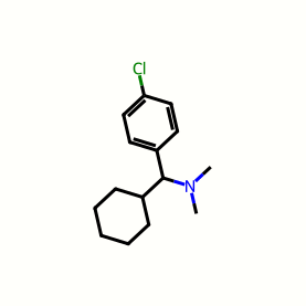 CN(C)C(c1ccc(Cl)cc1)C1CCCCC1